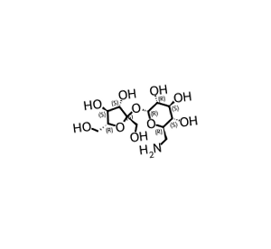 NC[C@H]1O[C@H](O[C@]2(CO)O[C@H](CO)[C@@H](O)[C@@H]2O)[C@H](O)[C@@H](O)[C@@H]1O